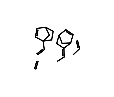 C=C.C=CC.C=CC12C=CC(CC1)C2.CC=C1CC2C=CC1C2